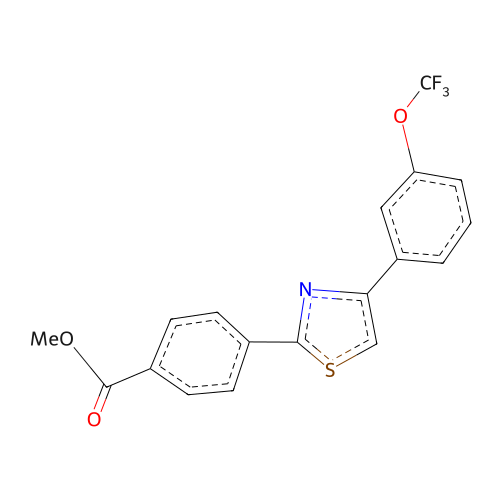 COC(=O)c1ccc(-c2nc(-c3cccc(OC(F)(F)F)c3)cs2)cc1